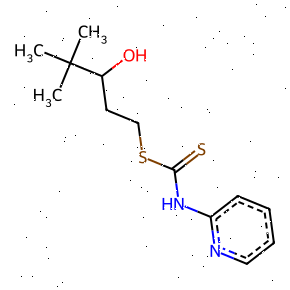 CC(C)(C)C(O)CCSC(=S)Nc1ccccn1